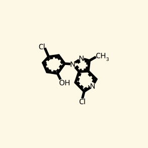 Cc1nn(-c2cc(Cl)ccc2O)c2cc(Cl)ncc12